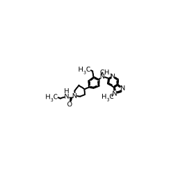 CCNC(=O)N1CCC(c2ccc(N(C)c3cc4c(cn3)ncn4C)c(CC)c2)CC1